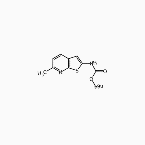 CCCCOC(=O)Nc1cc2ccc(C)nc2s1